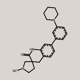 N#CN1CCC2(Cc3ccc(-c4cccc(N5CCCCC5)c4)cc3NC2=O)C1